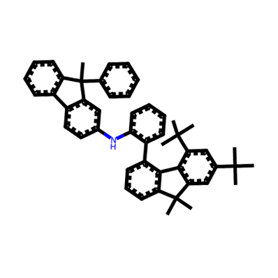 CC(C)(C)c1cc(C(C)(C)C)c2c(c1)C(C)(C)c1cccc(-c3ccccc3Nc3ccc4c(c3)C(C)(c3ccccc3)c3ccccc3-4)c1-2